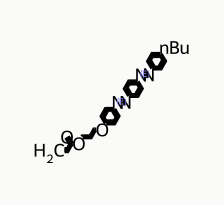 C=CC(=O)OCCCOc1ccc(/N=N/c2ccc(/N=N/c3ccc(CCCC)cc3)cc2)cc1